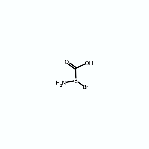 NB(Br)C(=O)O